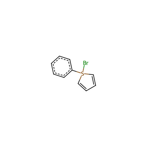 BrS1(c2ccccc2)C=CC=C1